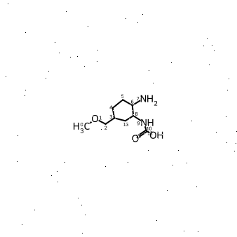 COCC1CCC(N)C(NC(=O)O)C1